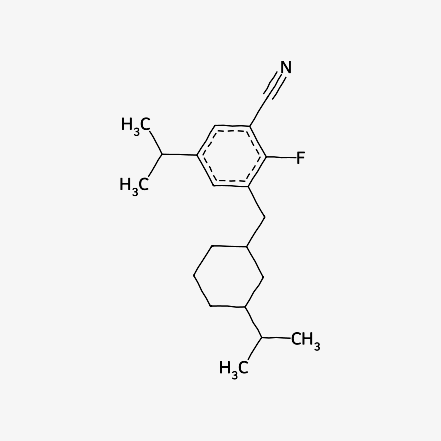 CC(C)c1cc(C#N)c(F)c(CC2CCCC(C(C)C)C2)c1